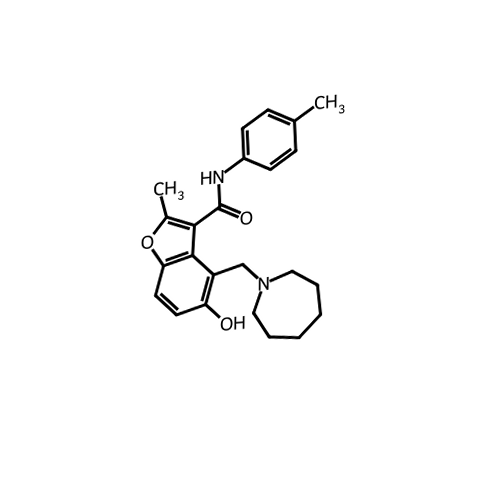 Cc1ccc(NC(=O)c2c(C)oc3ccc(O)c(CN4CCCCCC4)c23)cc1